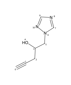 C#CCC(O)Cn1cncn1